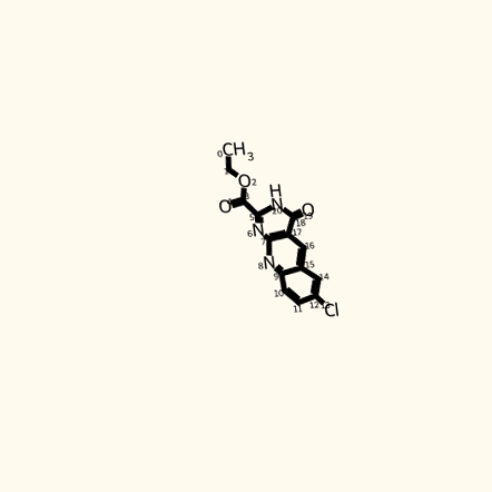 CCOC(=O)c1nc2nc3ccc(Cl)cc3cc2c(=O)[nH]1